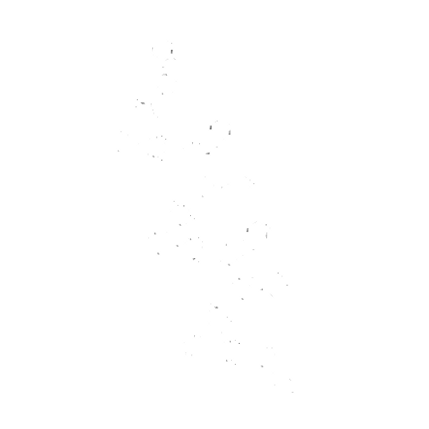 c1cnc2oc3ccc(-c4ncc5c6ccccc6c6cnc(-c7cc(-c8cc(-c9ncc%10c%11ccccc%11c%11cnc(-c%12cc(-c%13cc(-c%14ncc%15c%16ccccc%16c%16cnc(-c%17ccc%18oc%19ccncc%19c%18c%17)nc%16c%15n%14)cc%14c%13oc%13ccncc%13%14)c%13oc%14cnccc%14c%13c%12)nc%11c%10n9)cc9c8oc8cnccc89)c8oc9ncccc9c8c7)nc6c5n4)cc3c2c1